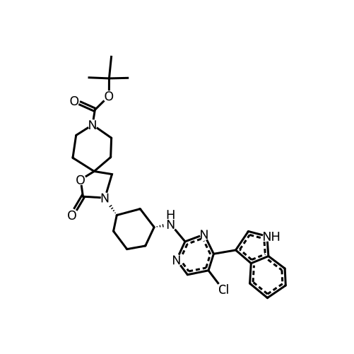 CC(C)(C)OC(=O)N1CCC2(CC1)CN([C@H]1CCC[C@@H](Nc3ncc(Cl)c(-c4c[nH]c5ccccc45)n3)C1)C(=O)O2